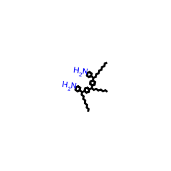 CCCCCCCCCC(c1ccc(N)cc1)c1ccc(C(CCCCCCC)c2ccc(C(CCCCCCCCC)c3ccc(N)cc3)cc2)cc1